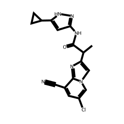 CC(C(=O)Nc1cc(C2CC2)[nH]n1)c1cn2cc(Cl)cc(C#N)c2n1